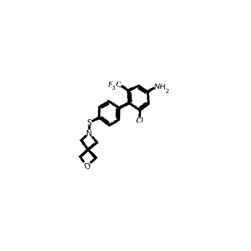 Nc1cc(Cl)c(-c2ccc(SN3CC4(COC4)C3)cc2)c(C(F)(F)F)c1